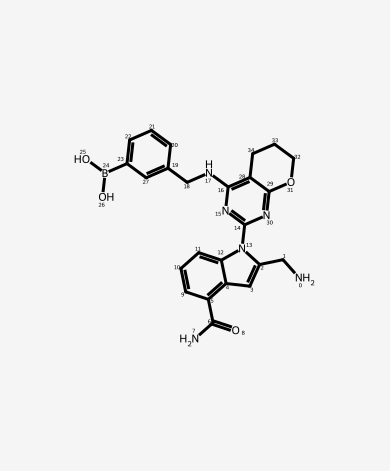 NCc1cc2c(C(N)=O)cccc2n1-c1nc(NCc2cccc(B(O)O)c2)c2c(n1)OCCC2